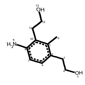 Cc1c(CCO)ccc(N)c1CCO